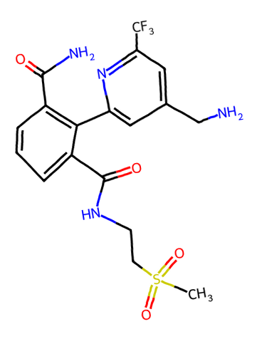 CS(=O)(=O)CCNC(=O)c1cccc(C(N)=O)c1-c1cc(CN)cc(C(F)(F)F)n1